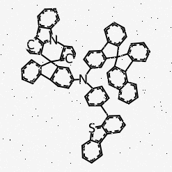 c1ccc2c(c1)-c1ccc(N(c3ccc(-c4cccc5c4sc4ccccc45)cc3)c3ccc4c(c3)C3(c5ccccc5-4)c4ccccc4-n4c5ccccc5c5cccc3c54)cc1C21c2ccccc2-c2c1ccc1ccccc21